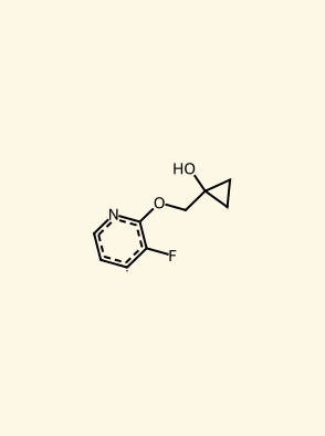 OC1(COc2ncc[c]c2F)CC1